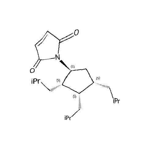 CC(C)C[C@H]1C[C@H](N2C(=O)C=CC2=O)[C@@H](CC(C)C)[C@H]1CC(C)C